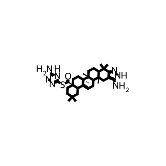 CC1(C)CC[C@]2(C(=O)Sc3nnc(N)[nH]3)CC[C@]3(C)C(=CCC4[C@@]5(C)Cc6c(n[nH]c6N)C(C)(C)C5CC[C@]43C)C2C1